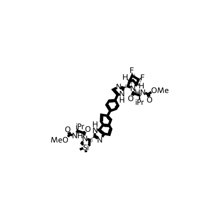 COC(=O)N[C@H](C(=O)N1C[Si](C)(C)C[C@H]1c1nc2ccc3cc(-c4ccc(-c5cnc([C@@H]6[C@@H]7C[C@@H]([C@@H](F)[C@H]7F)N6C(=O)[C@@H](NC(=O)OC)C(C)C)[nH]5)cc4)ccc3c2[nH]1)C(C)C